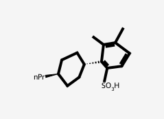 CCC[C@H]1CC[C@H](c2c(S(=O)(=O)O)ccc(C)c2C)CC1